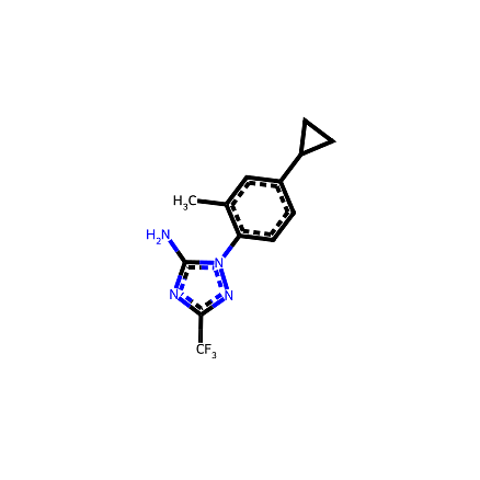 Cc1cc(C2CC2)ccc1-n1nc(C(F)(F)F)nc1N